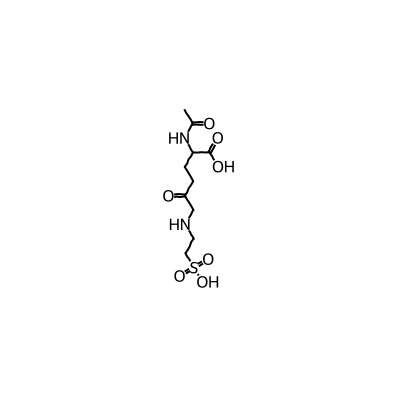 CC(=O)NC(CCC(=O)CNCCS(=O)(=O)O)C(=O)O